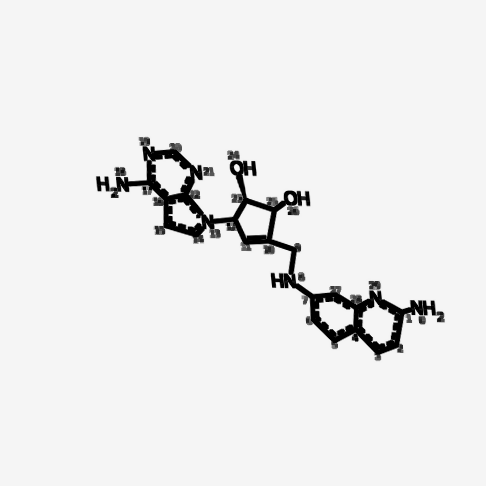 Nc1ccc2ccc(NCC3=CC(n4ccc5c(N)ncnc54)[C@@H](O)C3O)cc2n1